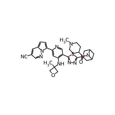 CN1CCC(C(=O)N2C3CC2CN(c2nnc(-c4cnc(-c5ccc6cc(C#N)cnn56)cc4NC4(C)COC4)s2)C3)CC1